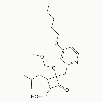 CCCCCOc1ccnc(CC2(OCOC)C(=O)N(CO)C2CC(C)C)c1